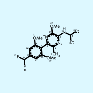 CCC(CC)Nc1nc(C)c(-c2c(OC)cc(C(F)F)cc2OC)nc1OC